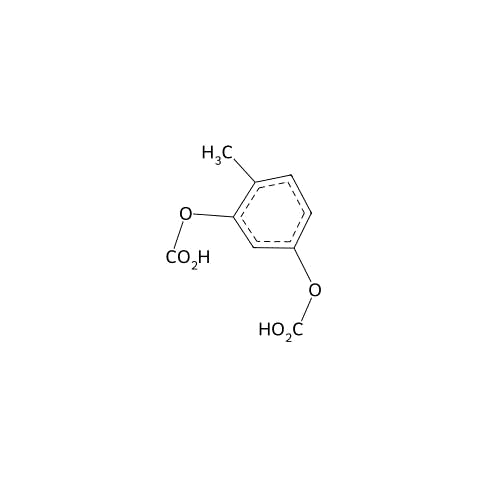 Cc1ccc(OC(=O)O)cc1OC(=O)O